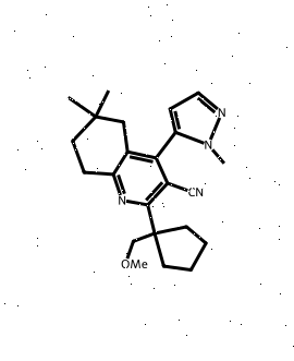 COCC1(c2nc3c(c(-c4ccnn4C)c2C#N)CC(C)(C)CC3)CCCC1